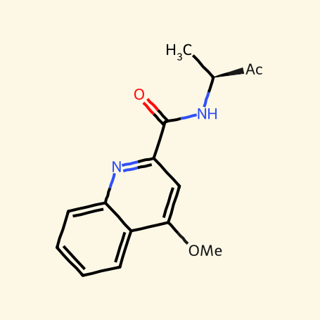 COc1cc(C(=O)N[C@@H](C)C(C)=O)nc2ccccc12